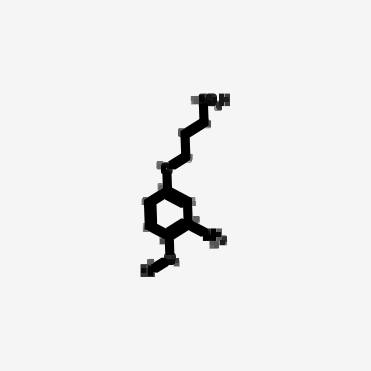 CCOc1ccc(OCCCS(=O)(=O)O)cc1N